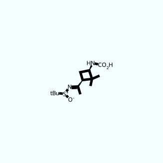 C/C(=N\[S+]([O-])C(C)(C)C)[C@H]1C[C@@H](NC(=O)O)C1(C)C